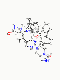 Cn1c(=O)c2ccc(-c3cnc(N4CCN5C(=O)NCC5C4)nc3)cc2n1Cc1nc(COC(c2ccccc2)(c2ccccc2)c2ccccc2)ccc1C(F)(F)F